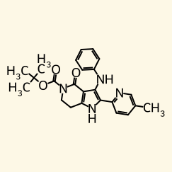 Cc1ccc(-c2[nH]c3c(c2Nc2ccccc2)C(=O)N(C(=O)OC(C)(C)C)CC3)nc1